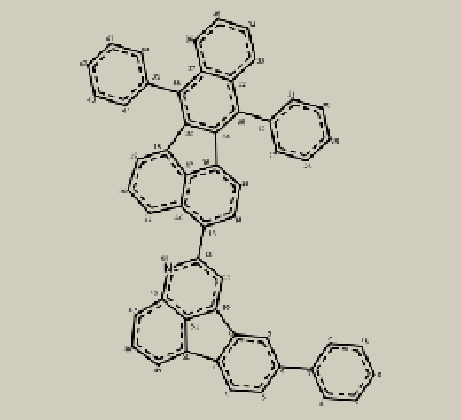 c1ccc(-c2ccc3c(c2)-c2cc(-c4ccc5c6c(cccc46)-c4c-5c(-c5ccccc5)c5ccccc5c4-c4ccccc4)nc4cccc-3c24)cc1